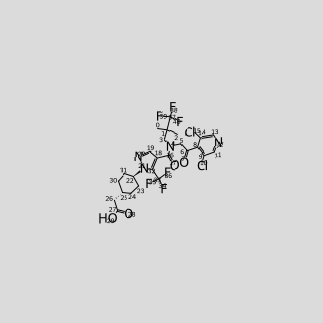 CC(C)(CN(CC(=O)c1c(Cl)cncc1Cl)C(=O)c1cnn([C@H]2CC[C@H](CC(=O)O)CC2)c1C(F)(F)F)C(F)(F)F